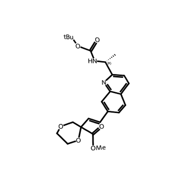 COC(=O)C1(C=Cc2ccc3ccc([C@@H](C)NC(=O)OC(C)(C)C)nc3c2)COCCO1